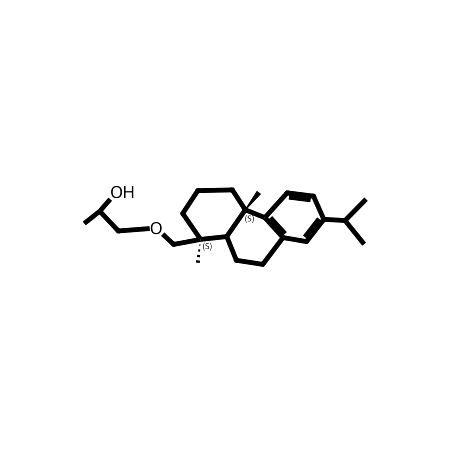 CC(O)COC[C@@]1(C)CCC[C@]2(C)c3ccc(C(C)C)cc3CCC12